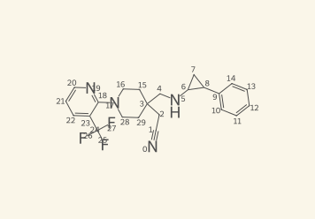 N#CCC1(CNC2CC2c2ccccc2)CCN(c2ncccc2C(F)(F)F)CC1